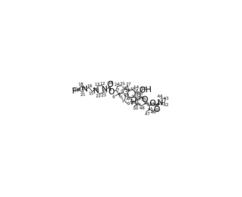 CCC[C@H]1C(C)(C)[C@@H](OC(=O)N2CCN(CCN3CC(F)C3)CC2)CC[C@@]12CC21CC[C@]2(C)[C@@H]3C(OC([C@H](OC(=O)N4CCC4)C(C)C)C[C@H]3C)[C@H](O)[C@@]2(C)C1